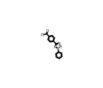 O=C(Cl)c1ccc(-c2nnn(-c3ccccc3)n2)cc1